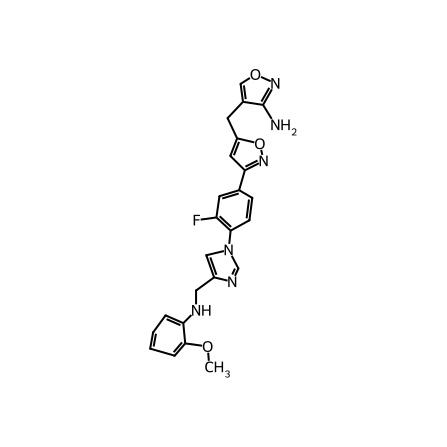 COc1ccccc1NCc1cn(-c2ccc(-c3cc(Cc4conc4N)on3)cc2F)cn1